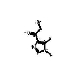 Cc1c(C(=O)CBr)ncn1C